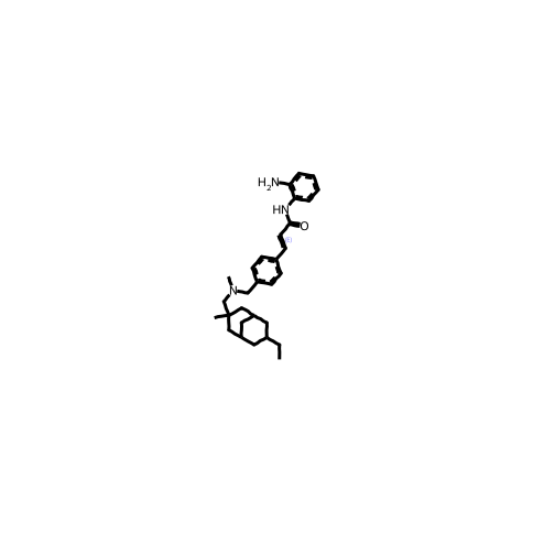 CCC1CC2CC(C1)CC(C)(CN(C)Cc1ccc(/C=C/C(=O)Nc3ccccc3N)cc1)C2